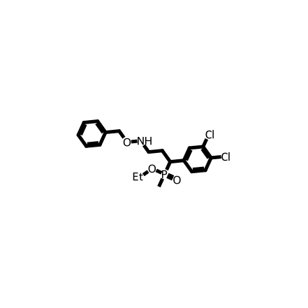 CCOP(C)(=O)C(CCNOCc1ccccc1)c1ccc(Cl)c(Cl)c1